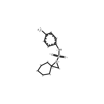 O=S(=O)(Nc1ccc(C(F)(F)F)cc1)N1CC12CCCCC2